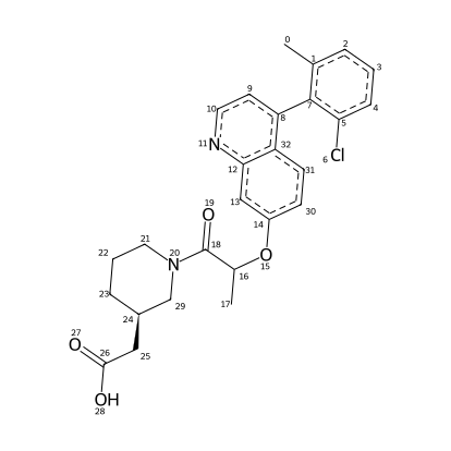 Cc1cccc(Cl)c1-c1ccnc2cc(OC(C)C(=O)N3CCC[C@H](CC(=O)O)C3)ccc12